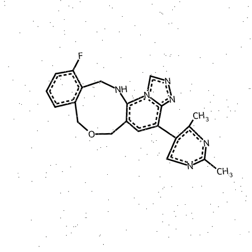 Cc1ncc(-c2cc3c(n4cnnc24)NCc2c(F)cccc2COC3)c(C)n1